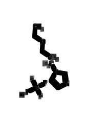 CCOCC.Cn1ccnc1.F[B-](F)(F)F.[H+]